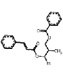 CCC(OC(=O)/C=C/c1ccccc1)C(C)COC(=O)c1ccccc1